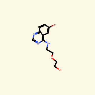 OCCOCCNc1ncnc2ccc(Br)cc12